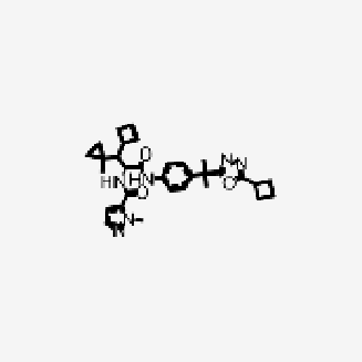 Cn1nccc1C(=O)N[C@H](C(=O)Nc1ccc(C(C)(C)c2nnc(C3CCC3)o2)cc1)C(C1CCC1)C1(C)CC1